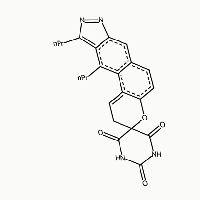 CCCC1=c2c(cc3ccc4c(c3c2CCC)=CCC2(O4)C(=O)NC(=O)NC2=O)N=N1